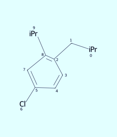 CC(C)Cc1ccc(Cl)cc1C(C)C